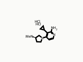 CN[C@@H]1CCN(c2ccnc(N)c2C2CC2)C1.Cl.Cl